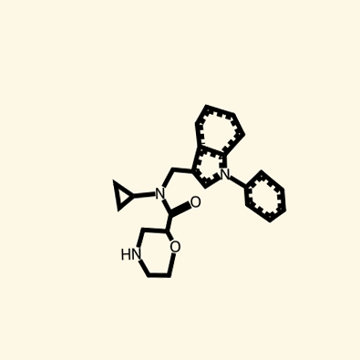 O=C(C1CNCCO1)N(Cc1cn(-c2ccccc2)c2ccccc12)C1CC1